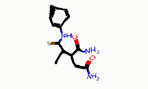 CC(C(=S)Nc1ccccc1)C(CC(N)=O)C(N)=O